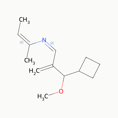 C=C(/C=N\C(C)=C/C)C(OC)C1CCC1